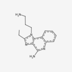 CCc1nc2c(N)nc3ccccc3c2n1CCCN